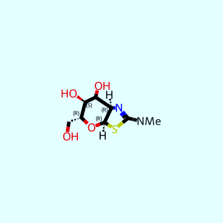 CNC1=N[C@@H]2C(O)[C@H](O)[C@@H](CO)O[C@@H]2S1